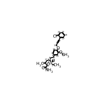 CCS(=O)(=O)N(CCc1ccc(OCC#Cc2ccccc2Cl)c(OC)c1)CC(C)CC(N)=O